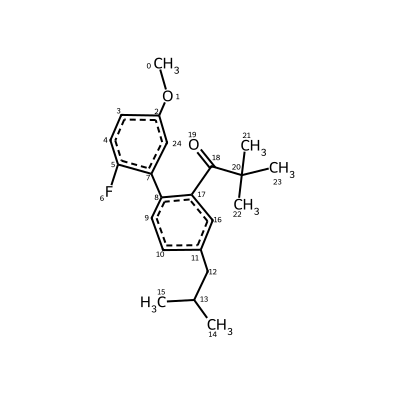 COc1ccc(F)c(-c2ccc(CC(C)C)cc2C(=O)C(C)(C)C)c1